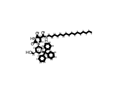 CCCCCCCCCCCCCCCCNC(=O)c1cn([C@@H]2C[C@H](CO)CN(C(c3ccccc3)(c3ccccc3)c3ccccc3)C2)c(=O)[nH]c1=O